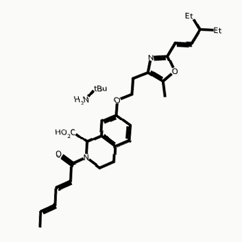 CC(C)(C)N.CC=CC=CC(=O)N1CCc2ccc(OCCc3nc(/C=C/C(CC)CC)oc3C)cc2C1C(=O)O